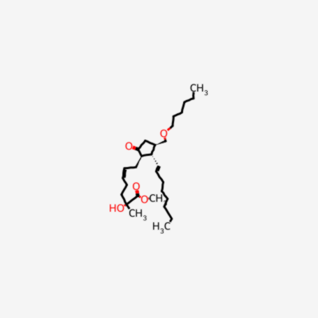 CCCCCC/C=C/[C@H]1[C@H](COCCCCCC)CC(=O)[C@@H]1C/C=C\CCC(C)(O)C(=O)OC